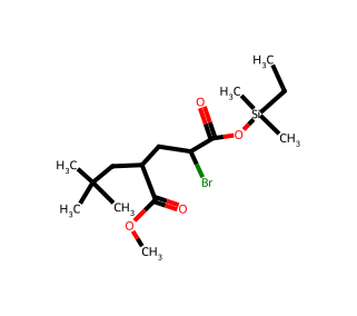 CC[Si](C)(C)OC(=O)C(Br)CC(CC(C)(C)C)C(=O)OC